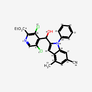 CCOC(=O)c1ncc(Cl)c(C(O)c2cc3c(C)cc(C#N)cc3n2-c2ccccc2)c1Cl